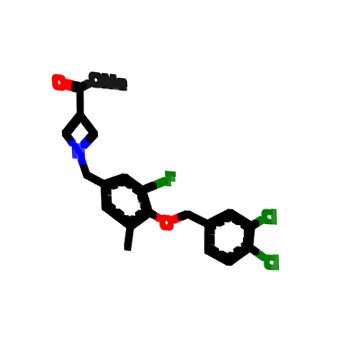 COC(=O)C1CN(Cc2cc(C)c(OCc3ccc(Cl)c(Cl)c3)c(F)c2)C1